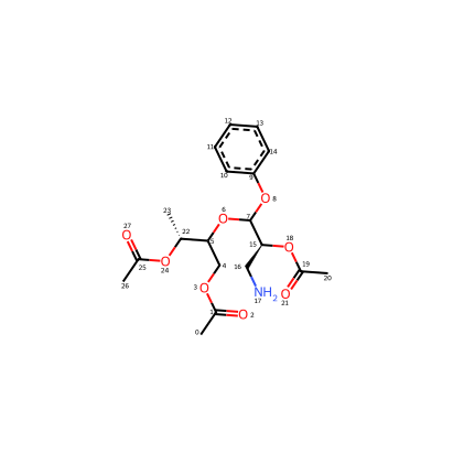 CC(=O)OCC(OC(Oc1ccccc1)[C@H](CN)OC(C)=O)[C@@H](C)OC(C)=O